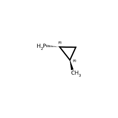 C[C@@H]1C[C@H]1P